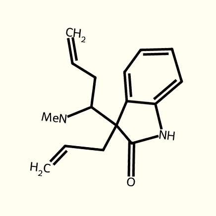 C=CCC(NC)C1(CC=C)C(=O)Nc2ccccc21